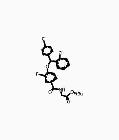 CC(C)(C)OC(=O)CNC(=O)c1ccc(OC(c2ccc(Cl)cc2)c2ccccc2Cl)c(F)c1